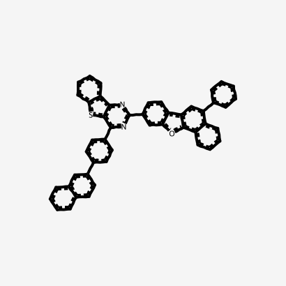 c1ccc(-c2cc3c4ccc(-c5nc(-c6ccc(-c7ccc8ccccc8c7)cc6)c6sc7ccccc7c6n5)cc4oc3c3ccccc23)cc1